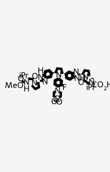 COC(=O)N[C@H](C(=O)N1CCC[C@H]1c1nc2cc([C@H]3CC[C@H](c4ccc5[nH]c([C@@H]6CCCN6C(=O)[C@H](C(C)C)N(C)C(=O)O)nc5c4)N3c3ccc(N4CCS(=O)(=O)CC4)c(F)c3)ccc2[nH]1)C(C)C